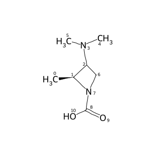 C[C@H]1C(N(C)C)CN1C(=O)O